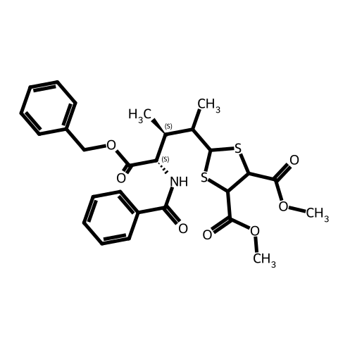 COC(=O)C1SC(C(C)[C@H](C)[C@H](NC(=O)c2ccccc2)C(=O)OCc2ccccc2)SC1C(=O)OC